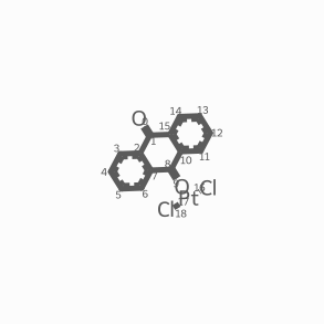 O=C1c2ccccc2C(=O)c2ccccc21.[Cl][Pt][Cl]